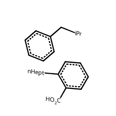 CC(C)Cc1ccccc1.CCCCCCCc1ccccc1C(=O)O